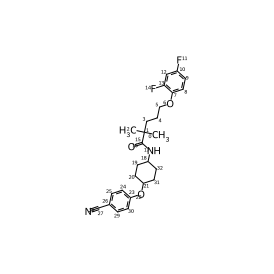 CC(C)(CCCOc1ccc(F)cc1F)C(=O)NC1CCC(Oc2ccc(C#N)cc2)CC1